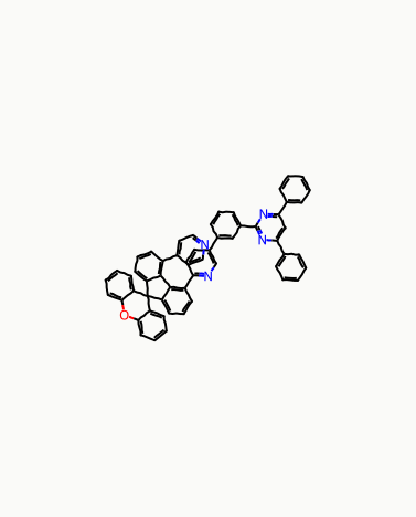 c1ccc(-c2cc(-c3ccccc3)nc(-c3cccc(-c4ccc(-c5cccc6c5-c5c(-c7ccncc7)cccc5C65c6ccccc6Oc6ccccc65)nc4)c3)n2)cc1